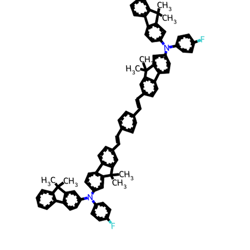 CC1(C)c2ccccc2-c2ccc(N(c3ccc(F)cc3)c3ccc4c(c3)C(C)(C)c3cc(/C=C/c5ccc(/C=C/c6ccc7c(c6)C(C)(C)c6cc(N(c8ccc(F)cc8)c8ccc9c(c8)C(C)(C)c8ccccc8-9)ccc6-7)cc5)ccc3-4)cc21